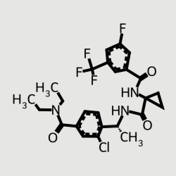 CCN(CC)C(=O)c1ccc([C@@H](C)NC(=O)C2(NC(=O)c3cc(F)cc(C(F)(F)F)c3)CC2)c(Cl)c1